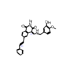 COc1ccc(CN/C=C2\C(=O)NC(=O)c3ccc(/C=C/c4ccccc4)cc32)cc1O